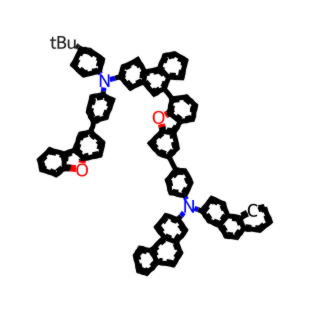 CC(C)(C)c1ccc(N(c2ccc(-c3ccc4oc5ccccc5c4c3)cc2)c2ccc3c(c2)cc(-c2cccc4c2oc2ccc(-c5ccc(N(c6ccc7c(ccc8ccccc87)c6)c6ccc7c(ccc8ccccc87)c6)cc5)cc24)c2ccccc23)cc1